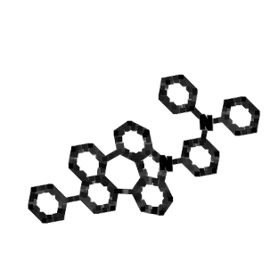 c1ccc(-c2ccc3c4c(cccc24)-c2cccc4c2c2c-3cccc2n4-c2cccc(N(c3ccccc3)c3ccccc3)c2)cc1